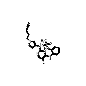 CS(=O)(=O)Nc1ccccc1Nc1nc(Nc2cnn(CCCC#N)c2)ncc1Cl